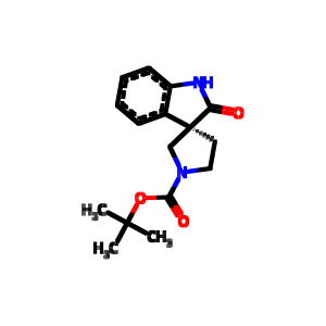 CC(C)(C)OC(=O)N1CC[C@@]2(C1)C(=O)Nc1ccccc12